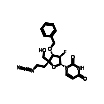 [N-]=[N+]=NCC[C@]1(CO)O[C@@H](n2ccc(=O)[nH]c2=O)[C@H](F)[C@H]1OCc1ccccc1